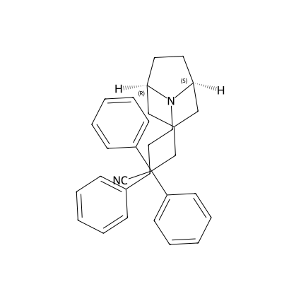 N#CC(CC1C[C@H]2CC[C@@H](C1)N2CCCc1ccccc1)(c1ccccc1)c1ccccc1